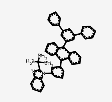 BC(B)(B)c1nc2ccccc2n1-c1cccc(-c2c3ccccc3c(-c3cc(-c4ccccc4)cc(-c4ccccc4)c3)c3ccccc23)c1